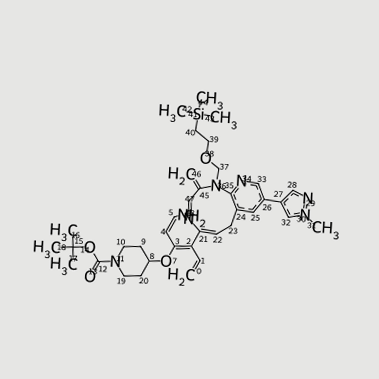 C=CC(=C(/C=C\N)OC1CCN(C(=O)OC(C)(C)C)CC1)C1=C/Cc2cc(-c3cnn(C)c3)cnc2N(COCC[Si](C)(C)C)C(=C)/C=N\1